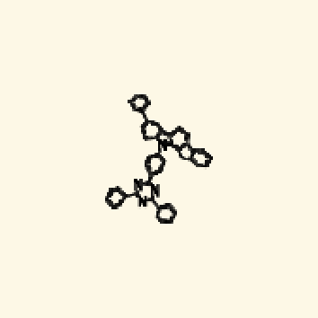 c1ccc(-c2ccc3c(c2)c2ccc4c(c2n3-c2ccc(-c3nc(-c5ccccc5)nc(-c5ccccc5)n3)cc2)Cc2ccccc2-4)cc1